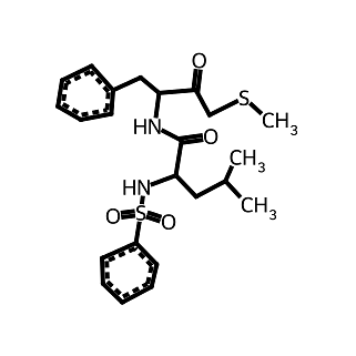 CSCC(=O)C(Cc1ccccc1)NC(=O)C(CC(C)C)NS(=O)(=O)c1ccccc1